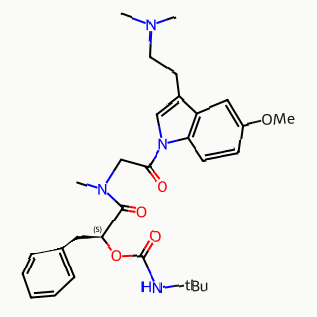 COc1ccc2c(c1)c(CCN(C)C)cn2C(=O)CN(C)C(=O)[C@H](Cc1ccccc1)OC(=O)NC(C)(C)C